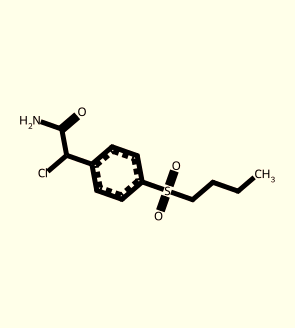 CCCCS(=O)(=O)c1ccc(C(Cl)C(N)=O)cc1